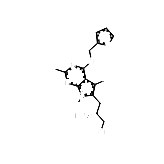 Cn1c(C[C@@H](N)CO)c(F)c2c(NCc3ccco3)nc(Cl)nc21